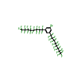 FC(F)(F)C(F)(F)C(F)(F)C(F)(F)C(F)(F)C(F)(F)C(F)(F)C(F)(F)c1cc(Br)cc(C(F)(F)C(F)(F)C(F)(F)C(F)(F)C(F)(F)C(F)(F)C(F)(F)C(F)(F)F)c1